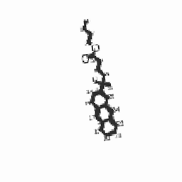 CCCCOC(=O)CCCC(C)(C)c1ccc2cc3ccccc3cc2c1